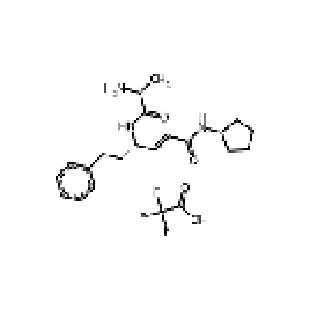 C[C@H](N)C(=O)N[C@H](C=CC(=O)NC1CCCC1)CCc1ccccc1.O=C(O)C(F)(F)F